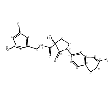 O=C(NCc1cc(F)cc(Cl)c1)[C@]1(O)CCN(c2ccc3c(c2)C=C(C(F)(F)F)CC3)C1=O